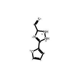 S=CC1N=C(c2ccco2)NN1